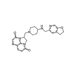 O=c1ccc2ncc(=O)n3c2n1CC3CN1CCC(NCc2cc3c(cn2)OCC3)CC1